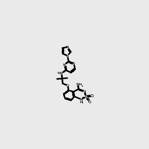 CC(C)(COc1cccc2c1C(N)=NS(=O)(=O)N2)Nc1ccnc(-n2ccnc2)n1